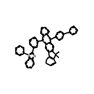 CC1(C)C2=C(CCC=C2)c2cc3c(-c4cccc(-c5nc6ccccc6n5-c5ccccc5)c4)c4ccccc4c(-c4ccc(-c5ccccc5)cc4)c3cc21